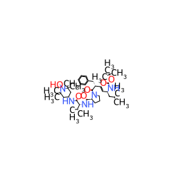 CC(C)C[C@@H](/C=C/[C@@H](Cc1ccccc1)C(=O)N1CCC[C@H]1C(=O)N[C@@H](C(=O)NC1CC(C)(C)N(O)C(C)(C)C1)C(C)C)NC(=O)OC(C)(C)C